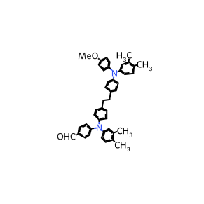 COc1ccc(N(c2ccc(CCc3ccc(N(c4ccc(C=O)cc4)c4ccc(C)c(C)c4)cc3)cc2)c2ccc(C)c(C)c2)cc1